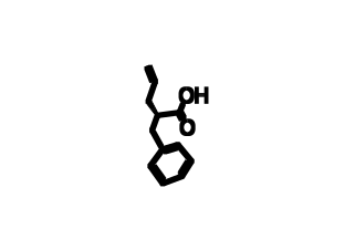 C=CC[C@H](Cc1ccccc1)C(=O)O